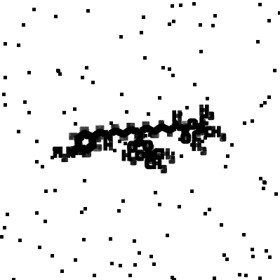 CC(C)(C)OC(=O)NCCCCN(CCCNCc1ccc(N)cc1)C(=O)OC(C)(C)C